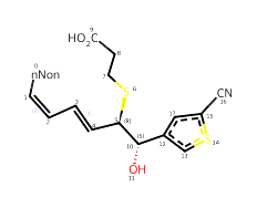 CCCCCCCCC/C=C\C=C\[C@@H](SCCC(=O)O)[C@@H](O)c1csc(C#N)c1